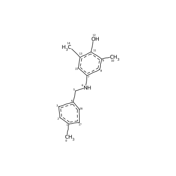 Cc1ccc(CNc2cc(C)c(O)c(C)c2)cc1